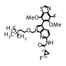 COc1c(-c2cn(COCC[Si](C)(C)C)c3nc(NC(=O)[C@@H]4C[C@@H]4F)ccc23)c(OC)c2scnc2c1F